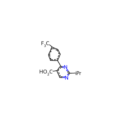 CC(C)c1ncc(C(=O)O)c(-c2ccc(C(F)(F)F)cc2)n1